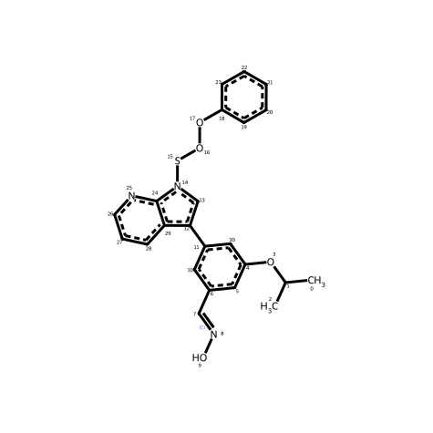 CC(C)Oc1cc(/C=N/O)cc(-c2cn(SOOc3ccccc3)c3ncccc23)c1